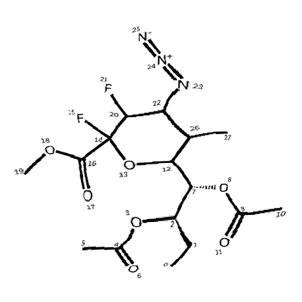 CC[C@@H](OC(C)=O)[C@@H](OC(C)=O)C1OC(F)(C(=O)OC)C(F)C(N=[N+]=[N-])C1C